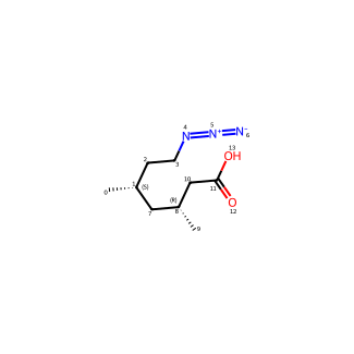 C[C@H](CCN=[N+]=[N-])C[C@@H](C)CC(=O)O